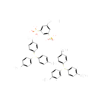 CC(C)(C)c1ccc([S+](c2ccc(C(C)(C)C)cc2)c2ccc(C(C)(C)C)cc2)cc1.CC(C)(C)c1ccc([S+](c2ccc(C(C)(C)C)cc2)c2ccc(C(C)(C)C)cc2)cc1.O=S(=O)([O-])c1cc(S(=O)(=O)[O-])cc(S(=O)(=O)O)c1